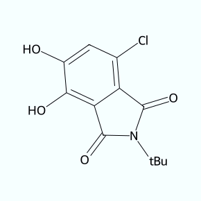 CC(C)(C)N1C(=O)c2c(Cl)cc(O)c(O)c2C1=O